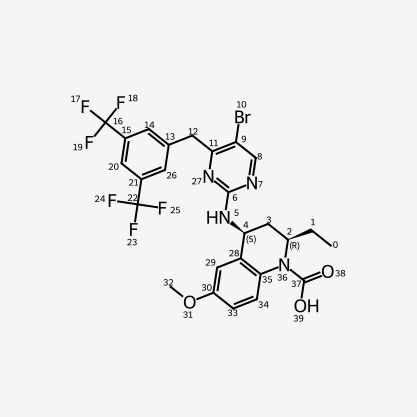 CC[C@@H]1C[C@H](Nc2ncc(Br)c(Cc3cc(C(F)(F)F)cc(C(F)(F)F)c3)n2)c2cc(OC)ccc2N1C(=O)O